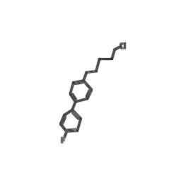 Fc1ccc(-c2ccc(CCCCCCl)cc2)cc1